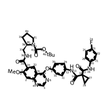 COc1cc2ncnc(Oc3ccc(NC(=O)C4(C(=O)Nc5ccc(F)cc5)CC4)cc3)c2cc1C(=O)NC[C@H]1CCCN1C(=O)OC(C)(C)C